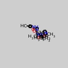 C#Cc1ccc(NC(=O)[C@@H]2CCCN2C(=O)/C(C)=C/[C@H](C(C)C)N(C)C(=O)[C@@H](NC(=O)C2CCCCN2C(C)C)C(C)(C)C)cc1